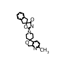 Cc1ccc2c(n1)COC21CCN(C2=NC(=O)C3(Cc4ccccc4C3)O2)CC1